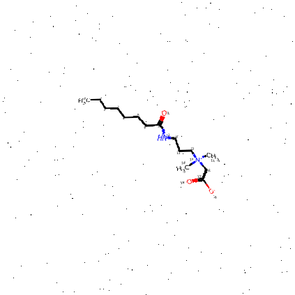 CCCCCCCC(=O)NCCC[N+](C)(C)CC(=O)[O-]